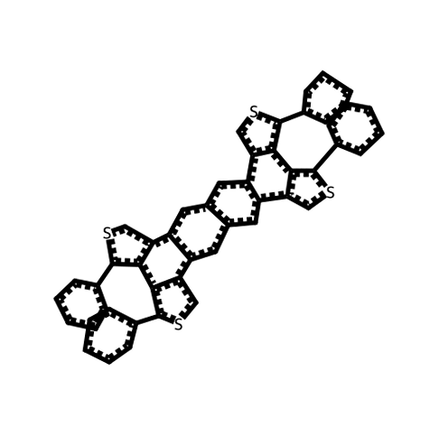 c1ccc(-c2scc3c4cc5cc6c(cc5cc4c4csc(-c5ccccc5)c4c23)c2csc(-c3ccccc3)c2c2c(-c3ccccc3)scc62)cc1